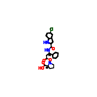 O=C(C[C@@H](NC(=O)c1cc2cc(Cl)ccc2[nH]1)c1ccccc1)ON1CCC[C@H]1C(=O)O